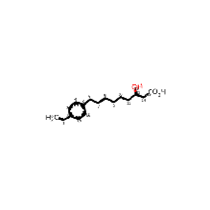 C=Cc1ccc(CCCCCCC(O)CC(=O)O)cc1